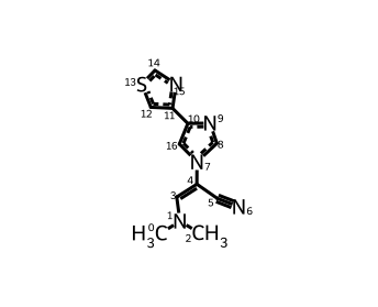 CN(C)C=C(C#N)n1cnc(-c2cscn2)c1